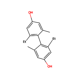 CCc1cc(O)cc(C)c1-c1c(C)cc(O)cc1CC